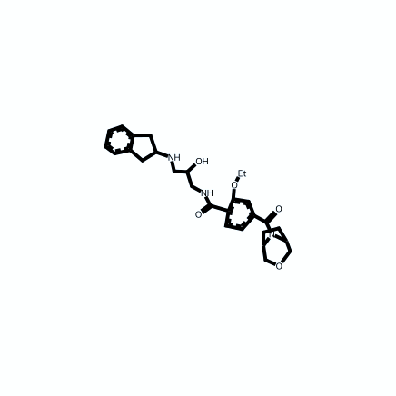 CCOc1cc(C(=O)N2C3CCC2COC3)ccc1C(=O)NCC(O)CNC1Cc2ccccc2C1